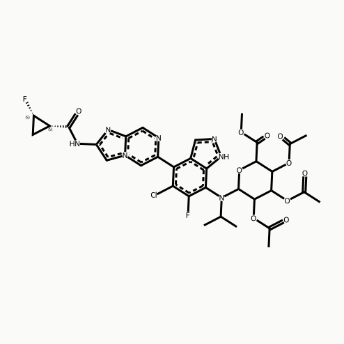 COC(=O)C1OC(N(c2c(F)c(Cl)c(-c3cn4cc(NC(=O)[C@@H]5C[C@@H]5F)nc4cn3)c3cn[nH]c23)C(C)C)C(OC(C)=O)C(OC(C)=O)C1OC(C)=O